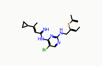 C=C(C)S/C(=C\C)CNc1ncc(Br)c(NC(=N)/C=C(\C)C2CC2)n1